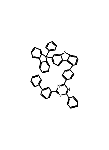 c1ccc(-c2cccc(-c3nc(-c4ccccc4)nc(-c4ccc(-c5cccc6sc7cc(C8(c9ccccc9)c9ccccc9-c9ccccc98)ccc7c56)cc4)n3)c2)cc1